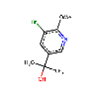 COc1ncc(C(C)(O)C(F)(F)F)cc1Br